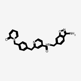 Nc1noc2cc(CNC(=O)c3ccnc(Cc4ccc(Cn5ccccc5=O)cc4)c3)ccc12